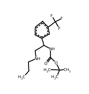 CCCNCC(NC(=O)OC(C)(C)C)c1cccc(C(F)(F)F)c1